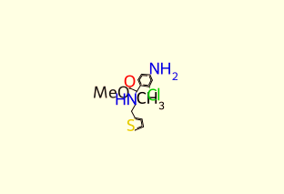 COC(=O)C(C)(NCCc1cccs1)c1ccc(N)cc1Cl